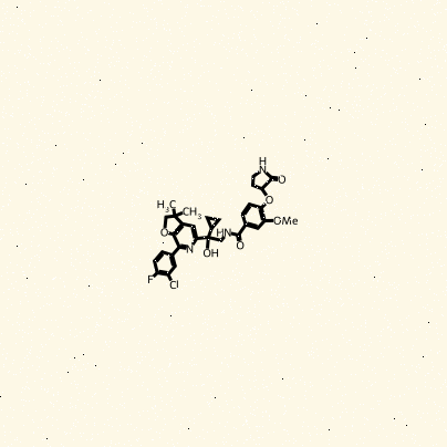 COc1cc(C(=O)NCC(O)(c2cc3c(c(-c4ccc(F)c(Cl)c4)n2)OCC3(C)C)C2CC2)ccc1OC1CCNC1=O